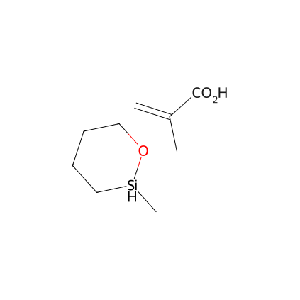 C=C(C)C(=O)O.C[SiH]1CCCCO1